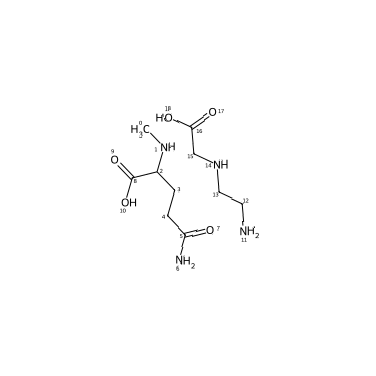 CNC(CCC(N)=O)C(=O)O.NCCNCC(=O)O